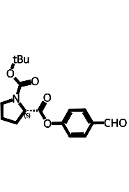 CC(C)(C)OC(=O)N1CCC[C@H]1C(=O)Oc1ccc(C=O)cc1